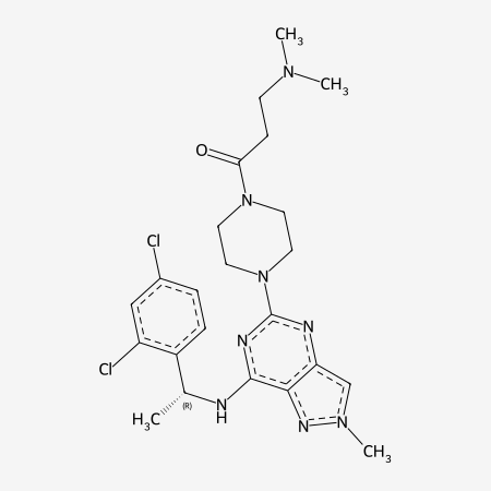 C[C@@H](Nc1nc(N2CCN(C(=O)CCN(C)C)CC2)nc2cn(C)nc12)c1ccc(Cl)cc1Cl